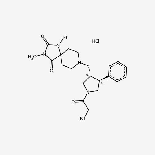 CCN1C(=O)N(C)C(=O)C12CCN(C[C@H]1CN(C(=O)CC(C)(C)C)C[C@@H]1c1ccccc1)CC2.Cl